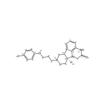 O=C1CN2c3c(cccc3C3CN(CCCOc4ccc(F)cc4)CC[C@@H]32)N1